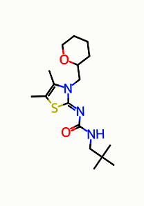 Cc1sc(=NC(=O)NCC(C)(C)C)n(CC2CCCCO2)c1C